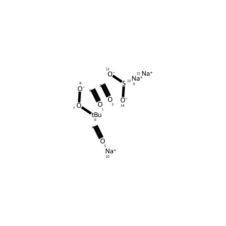 C=O.C=O.C=O.CC(C)(C)O[O-].[Na+].[Na+].[Na+].[O-]S[O-]